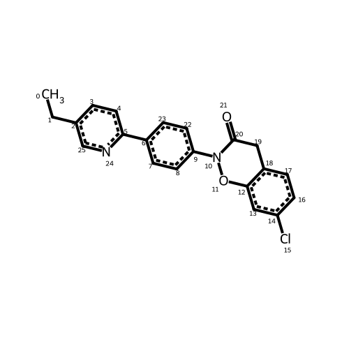 CCc1ccc(-c2ccc(N3Oc4cc(Cl)ccc4CC3=O)cc2)nc1